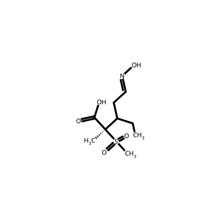 CCC(CC=NO)[C@](C)(C(=O)O)S(C)(=O)=O